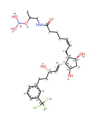 CC(CNC(=O)CCC/C=C\C[C@@H]1[C@@H](/C=C/[C@@H](O)CCc2cccc(C(F)(F)F)c2)[C@H](O)C[C@@H]1O)ON(O)O